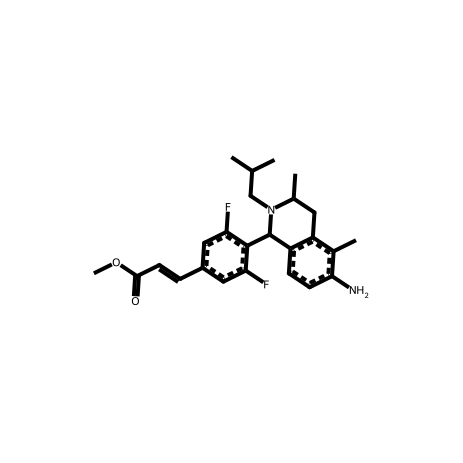 COC(=O)/C=C/c1cc(F)c(C2c3ccc(N)c(C)c3CC(C)N2CC(C)C)c(F)c1